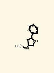 O=C(O)NC1CNC(c2ccccc2)C1